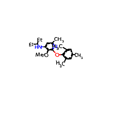 CCC(CC)Nc1cc(C)nc(Oc2c(C)cc(C)cc2C)c1OC